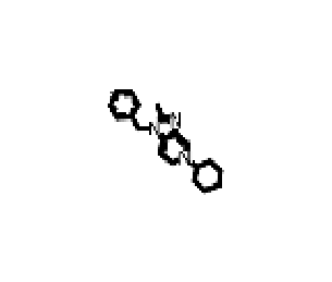 Cc1nc2c(n1Cc1cc[c]cc1)=CCN(C1CCCCC1)C=2